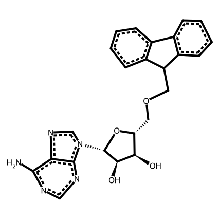 Nc1ncnc2c1ncn2[C@@H]1O[C@H](COCC2c3ccccc3-c3ccccc32)[C@@H](O)[C@H]1O